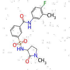 Cc1cc(NC(=O)c2cccc(S(=O)(=O)NC3CCN(C)C3=O)c2)ccc1F